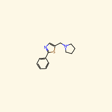 c1ccc(-c2ncc(CN3CCCC3)s2)cc1